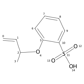 C=CC(C)Oc1ccccc1S(=O)(=O)O